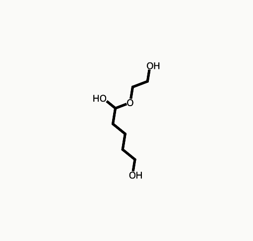 OCCCCC(O)OCCO